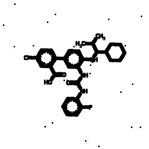 CC(C)C(Nc1ccc(-c2ccc(Cl)cc2C(=O)O)cc1NC(=O)Nc1ccccc1F)C1CCCCC1